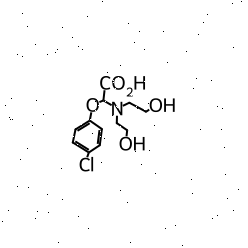 O=C(O)C(Oc1ccc(Cl)cc1)N(CCO)CCO